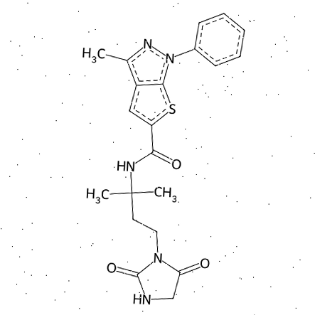 Cc1nn(-c2ccccc2)c2sc(C(=O)NC(C)(C)CCN3C(=O)CNC3=O)cc12